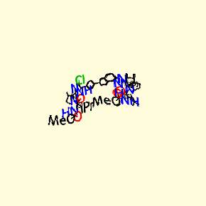 C=C1CCN(C(=O)[C@@H](NC(=O)OC)C(C)C)[C@@H]1c1nc(Cl)c(-c2ccc(-c3ccc4c(ccc5nc([C@@H]6[C@H]7CCC(C7)N6C(=O)[C@H](C=C(C)C)NC(=O)OC)[nH]c54)c3)cc2)[nH]1